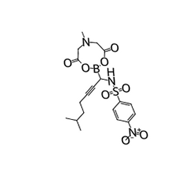 CC(C)CCC#CC(NS(=O)(=O)c1ccc([N+](=O)[O-])cc1)B1OC(=O)CN(C)CC(=O)O1